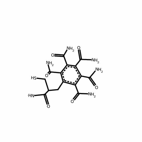 [NH]C(=O)C(CS)Cc1c(C(N)=O)c(C(N)=O)c(C(N)=O)c(C(N)=O)c1C(N)=O